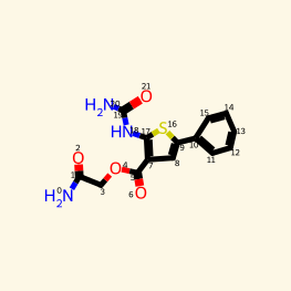 NC(=O)COC(=O)c1cc(-c2ccccc2)sc1NC(N)=O